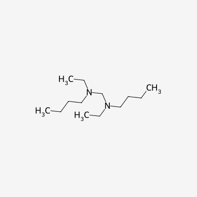 CCCCN(CC)CN(CC)CCCC